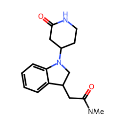 CNC(=O)CC1CN(C2CCNC(=O)C2)c2ccccc21